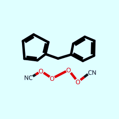 N#COOOOC#N.c1ccc(Cc2ccccc2)cc1